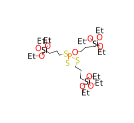 CCO[Si](CCCOP(=S)(SCCC[Si](OCC)(OCC)OCC)SCCC[Si](OCC)(OCC)OCC)(OCC)OCC